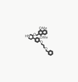 COc1cc(COC2CNCCC2c2ccc(OCCCOCc3ccccc3)cc2)c(OC)c2ccccc12